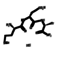 CSCC[C@H](N)C(=O)N[C@@H](CC(=O)O)C(=O)N[C@@H](C(N)=O)C(C)C.Cl